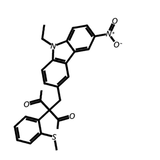 CCn1c2ccc(CC(C(C)=O)(C(C)=O)c3ccccc3SC)cc2c2cc([N+](=O)[O-])ccc21